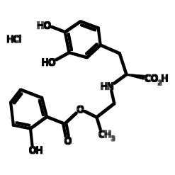 CC(CN[C@@H](Cc1ccc(O)c(O)c1)C(=O)O)OC(=O)c1ccccc1O.Cl